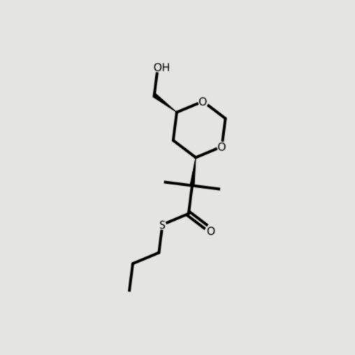 CCCSC(=O)C(C)(C)[C@H]1C[C@@H](CO)OCO1